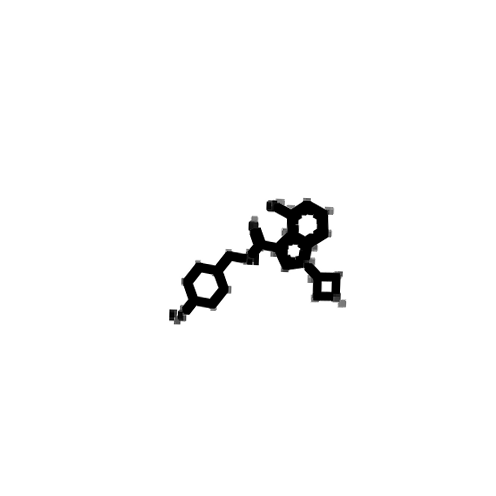 O=C(NCC1CCC(C(F)(F)F)CC1)c1cn(C2COC2)c2cccc(Cl)c12